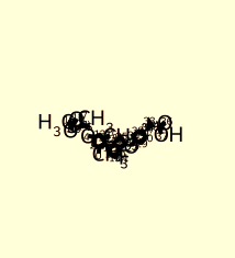 Cc1cc(OC[C@@H](C)CS(C)(=O)=O)cc(C)c1-c1ccc(F)c2c1CC[C@H]2Oc1ccc([C@H]2C[C@@H]2C(=O)O)cc1